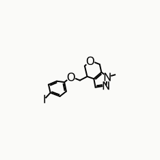 Cn1ncc2c1COCC2COc1ccc(I)cc1